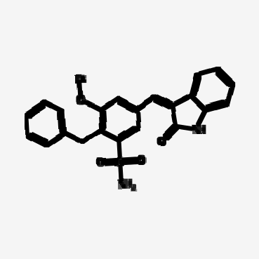 CCOc1cc(C=C2C(=O)Nc3ccccc32)cc(S(N)(=O)=O)c1Cc1ccccc1